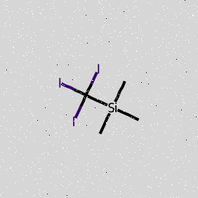 C[Si](C)(C)C(I)(I)I